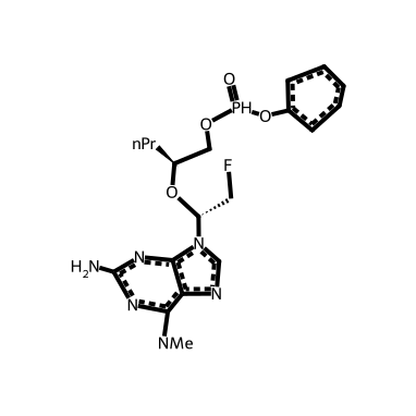 CCC[C@@H](CO[PH](=O)Oc1ccccc1)O[C@H](CF)n1cnc2c(NC)nc(N)nc21